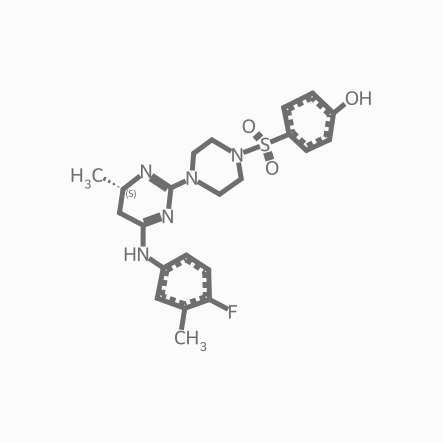 Cc1cc(NC2=NC(N3CCN(S(=O)(=O)c4ccc(O)cc4)CC3)=N[C@@H](C)C2)ccc1F